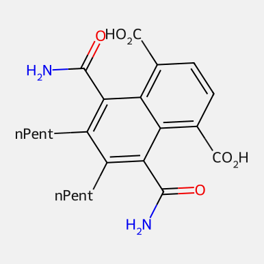 CCCCCc1c(CCCCC)c(C(N)=O)c2c(C(=O)O)ccc(C(=O)O)c2c1C(N)=O